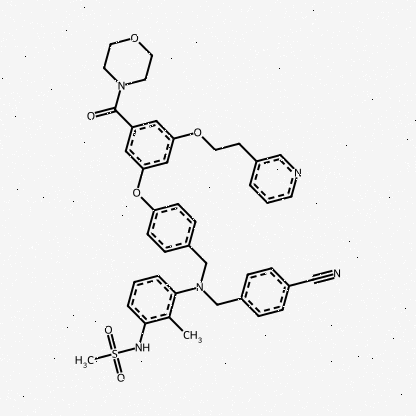 Cc1c(NS(C)(=O)=O)cccc1N(Cc1ccc(C#N)cc1)Cc1ccc(Oc2cc(OCCc3cccnc3)cc(C(=O)N3CCOCC3)c2)cc1